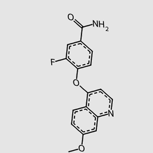 COc1ccc2c(Oc3ccc(C(N)=O)cc3F)ccnc2c1